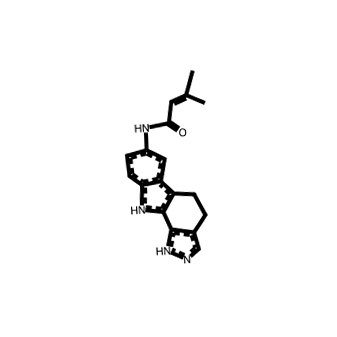 CC(C)=CC(=O)Nc1ccc2[nH]c3c(c2c1)CCc1cn[nH]c1-3